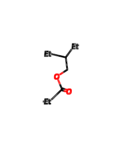 C[CH]C(=O)OCC(CC)CC